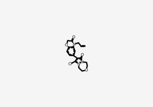 C=CCN1C(=O)COc2ccc(-c3c(Cl)n4n(c3=O)CCOCC4)cc21